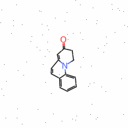 O=C1C=C2C=Cc3ccccc3N2CC1